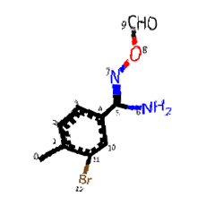 Cc1ccc(/C(N)=N/OC=O)cc1Br